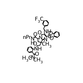 CCCNC(=O)C1CC(C)(CC(=O)Nc2ccccc2C(=O)N(C)C)c2nc(B3Oc4ccccc4O3)c(NCc3cccc(C(F)(F)F)c3)c(=O)n21